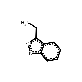 NCc1onc2ccccc12